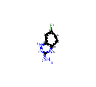 Nc1nnc2cc(F)ccc2n1